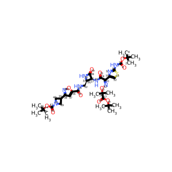 CC(C)(C)OC(=O)Nc1nc(/C(=N/OC(C)(C)C(=O)OC(C)(C)C)C(=O)N[C@@H]2C(=O)N[C@@H]2CNC(=O)c2cc(C3CN(C(=O)OC(C)(C)C)C3)no2)cs1